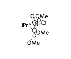 COCCCOc1cc2c(cc1OC)-c1c(cc(C(=O)OC)c(=O)n1Cc1ccccc1)C(C)(C(C)C)C2